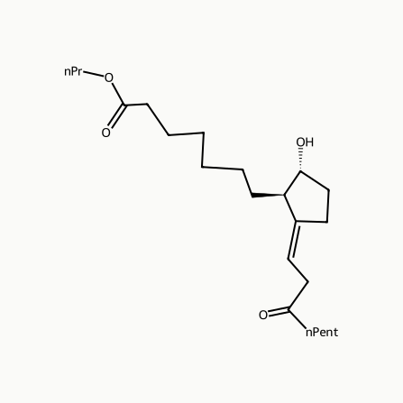 CCCCCC(=O)CC=C1CC[C@@H](O)[C@@H]1CCCCCCC(=O)OCCC